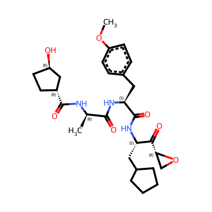 COc1ccc(C[C@H](NC(=O)[C@@H](C)NC(=O)[C@@H]2CC[C@@H](O)C2)C(=O)N[C@@H](CC2CCCC2)C(=O)[C@H]2CO2)cc1